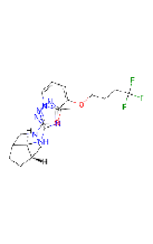 Cc1nnc(N2CC3CC[C@@H](C2)[C@@H]3Nc2nc3c(OCCCC(F)(F)F)cccn3n2)o1